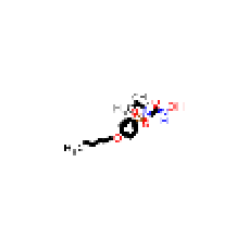 CCCCCCOc1ccc(S(=O)(=O)N(CC(=O)NO)CC(C)C)cc1